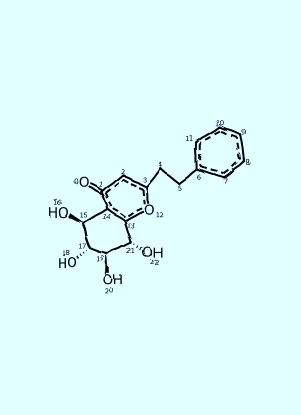 O=c1cc(CCc2ccccc2)oc2c1[C@H](O)[C@@H](O)[C@H](O)[C@H]2O